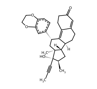 CC#C[C@]1(O)[C@H](C)C[C@H]2[C@@H]3CCC4=CC(=O)CCC4=C3[C@@H](c3ccc4c(c3)OCCO4)C[C@@]21C